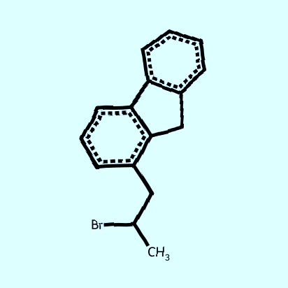 CC(Br)Cc1cccc2c1Cc1ccccc1-2